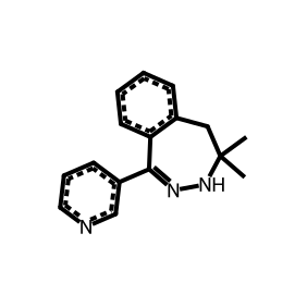 CC1(C)Cc2ccccc2C(c2cccnc2)=NN1